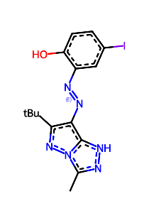 Cc1n[nH]c2c(/N=N/c3cc(I)ccc3O)c(C(C)(C)C)nn12